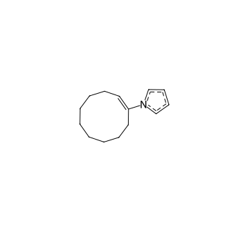 C1=C(n2cccc2)CCCCCCCC1